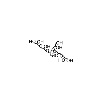 CCC(COCC(O)CO)(COCC(O)COCC(O)CO)COCC(O)COCC(O)CO